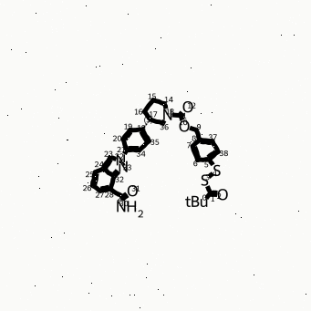 CC(C)(C)C(=O)SSc1ccc(COC(=O)N2CCC[C@@H](c3ccc(-n4cc5cccc(C(N)=O)c5n4)cc3)C2)cc1